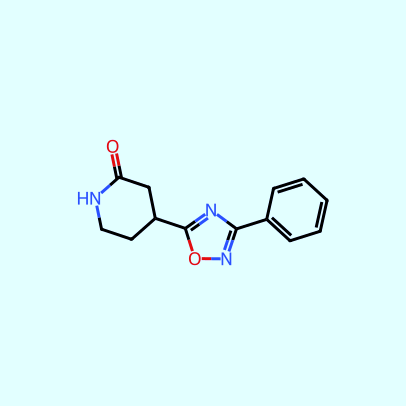 O=C1CC(c2nc(-c3ccccc3)no2)CCN1